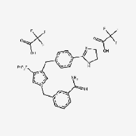 CCOC(=O)c1cn(Cc2cccc(C(=N)N)c2)cc1Cc1ccc(C2=NCCN2)cc1.O=C(O)C(F)(F)F.O=C(O)C(F)(F)F